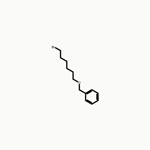 BrCCCCCCOCc1ccccc1